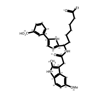 CCC(=O)CCCCCC(NC(=O)Cc1c(C)[nH]c2ccc(OC)cc12)c1ncc(-c2cccc(C(=O)O)c2)[nH]1